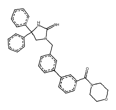 N=C1NC(c2ccccc2)(c2ccccc2)CN1Cc1cccc(-c2cccc(C(=O)N3CCOCC3)c2)c1